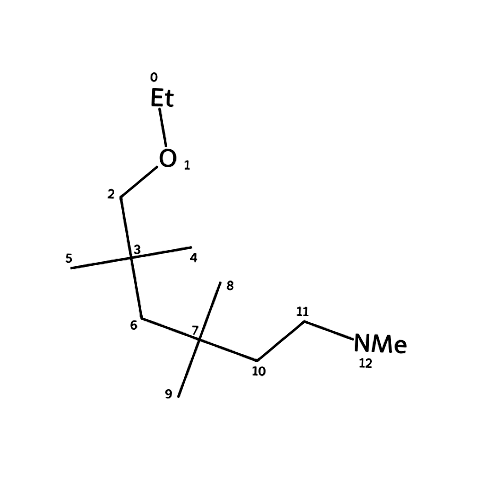 CCOCC(C)(C)CC(C)(C)CCNC